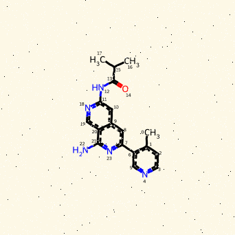 Cc1ccncc1-c1cc2cc(NC(=O)C(C)C)ncc2c(N)n1